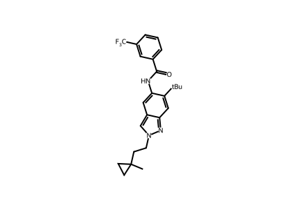 CC1(CCn2cc3cc(NC(=O)c4cccc(C(F)(F)F)c4)c(C(C)(C)C)cc3n2)CC1